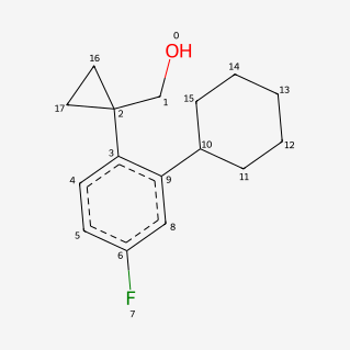 OCC1(c2ccc(F)cc2C2CCCCC2)CC1